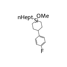 CCCCCCC[Si]1(OC)CCC(c2ccc(F)cc2)CC1